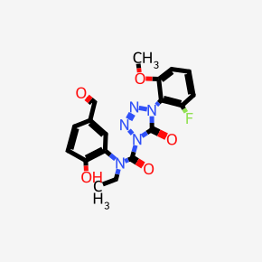 CCN(C(=O)n1nnn(-c2c(F)cccc2OC)c1=O)c1cc(C=O)ccc1O